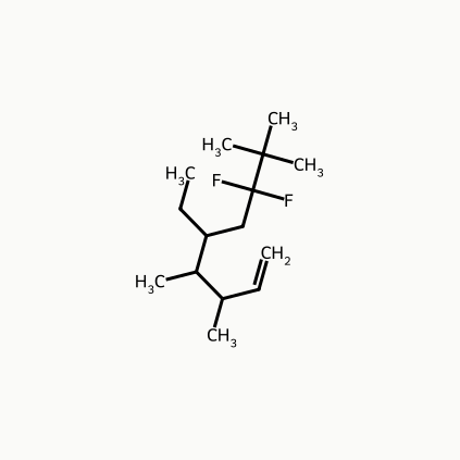 C=CC(C)C(C)C(CC)CC(F)(F)C(C)(C)C